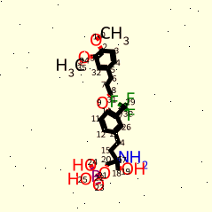 COc1ccc(CCCOc2ccc(CCC(N)(CO)COP(=O)(O)O)cc2C(F)(F)F)cc1OC